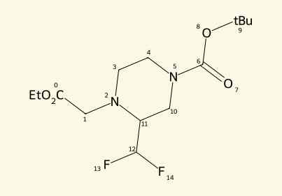 CCOC(=O)CN1CCN(C(=O)OC(C)(C)C)CC1C(F)F